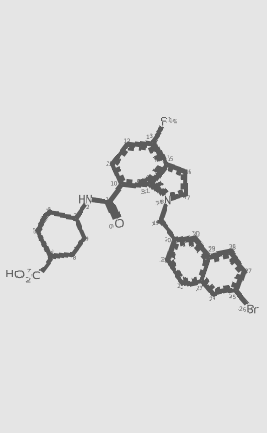 O=C(NC1CCC(C(=O)O)CC1)c1ccc(F)c2ccn(Cc3ccc4cc(Br)ccc4c3)c12